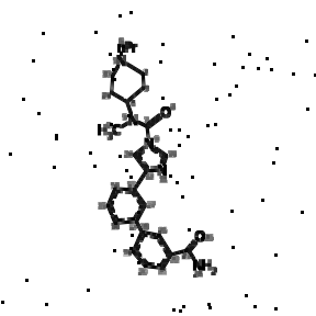 CCCN1CCC(N(C)C(=O)n2cnc(-c3cccc(-c4cccc(C(N)=O)c4)c3)c2)CC1